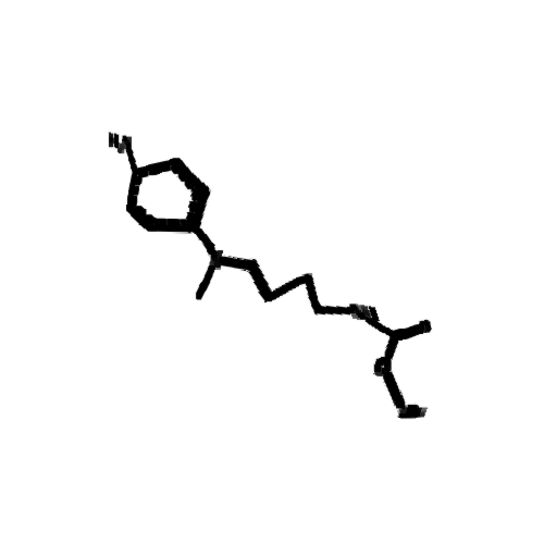 CN(CCCCNC(=O)OC(C)(C)C)c1ccc(N)cc1